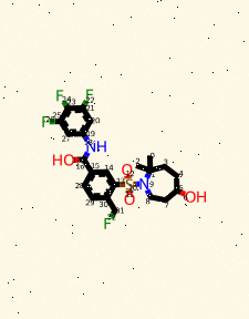 CC1(C)CCC(O)CCN1S(=O)(=O)c1cc(C(O)Nc2cc(F)c(F)c(F)c2)ccc1CF